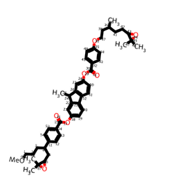 COCCCC(CC1OC1(C)C)c1ccc(C(=O)Oc2ccc3c(c2)C(C)c2cc(OC(=O)c4ccc(OCCC(C)CCC5OC5(C)C)cc4)ccc2-3)cc1